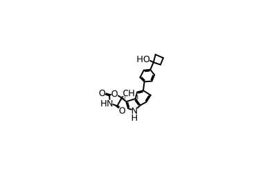 C[C@@]1(c2c[nH]c3ccc(-c4ccc(C5(O)CCC5)cc4)cc23)OC(=O)NC1=O